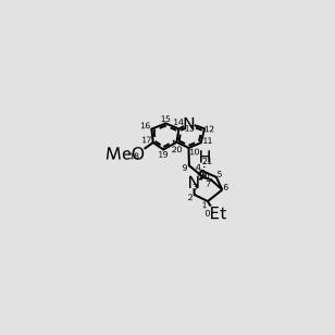 CCC1CN2CCC1C[C@@H]2Cc1ccnc2ccc(OC)cc12